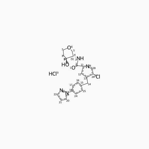 Cl.O=C(N[C@H]1COCC[C@@H]1O)c1cc(Cc2ccc(-n3cccn3)cc2)c(Cl)cn1